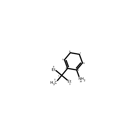 CCC(C)(CC)C1=CCCC=C1N